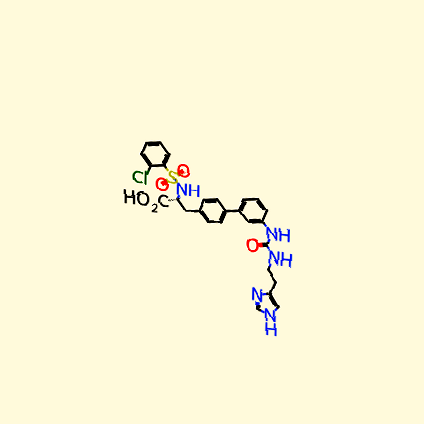 O=C(NCCc1c[nH]cn1)Nc1cccc(-c2ccc(C[C@@H](NS(=O)(=O)c3ccccc3Cl)C(=O)O)cc2)c1